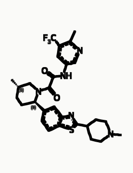 Cc1ncc(NC(=O)C(=O)N2C[C@@H](C)CC[C@@H]2c2ccc3sc(C4CCN(C)CC4)nc3c2)cc1C(F)(F)F